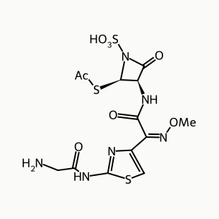 CO/N=C(\C(=O)N[C@@H]1C(=O)N(S(=O)(=O)O)[C@@H]1SC(C)=O)c1csc(NC(=O)CN)n1